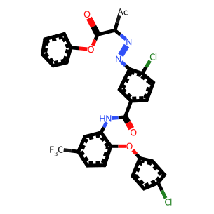 CC(=O)C(N=Nc1cc(C(=O)Nc2cc(C(F)(F)F)ccc2Oc2ccc(Cl)cc2)ccc1Cl)C(=O)Oc1ccccc1